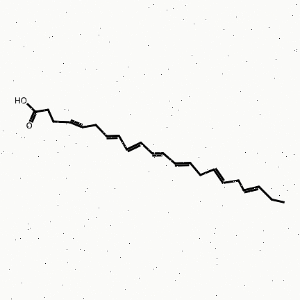 CCC=CCC=CCC=CC=CC=CC=CCC=CCCC(=O)O